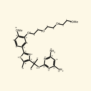 COCCOCCOCCOc1cc(-c2nc(C(C)(C)Sc3nc(N)cc(N)n3)c(C)s2)ccc1OC